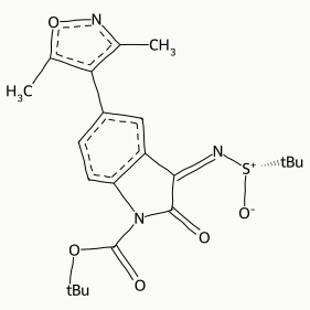 Cc1noc(C)c1-c1ccc2c(c1)C(=N[S@@+]([O-])C(C)(C)C)C(=O)N2C(=O)OC(C)(C)C